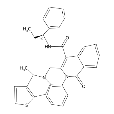 CC[C@H](NC(=O)c1c(CN2CCc3sccc3C2C)n(-c2ccccc2)c(=O)c2ccccc12)c1ccccc1